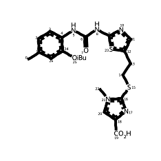 Cc1ccc(NC(=O)Nc2ncc(CCSc3nc(C(=O)O)cn3C)s2)c(OCC(C)C)c1